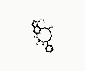 Cn1ncc2cc3nc(c21)CC(O)CCCC(c1ccccc1)NC(=O)N3